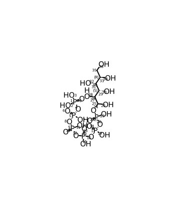 O=P(O)(O)OP(=O)(O)OP(=O)(O)OP(=O)(O)OP(=O)(O)OP(=O)(O)OC(O)[C@@H](O)[C@@H](O)[C@H](O)[C@H](O)CO